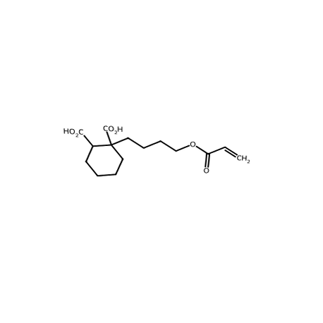 C=CC(=O)OCCCCC1(C(=O)O)CCCCC1C(=O)O